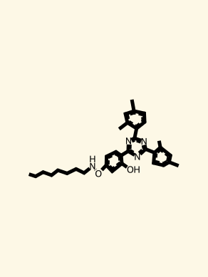 CCCCCCCCNOc1ccc(-c2nc(-c3ccc(C)cc3C)nc(-c3ccc(C)cc3C)n2)c(O)c1